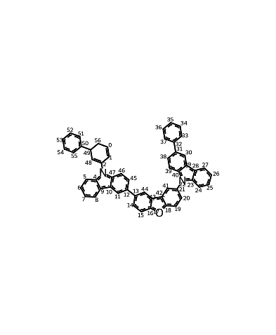 C1=CC(n2c3ccccc3c3cc(-c4ccc5oc6ccc(-n7c8ccccc8c8cc(-c9ccccc9)ccc87)cc6c5c4)ccc32)=CC(c2ccccc2)C1